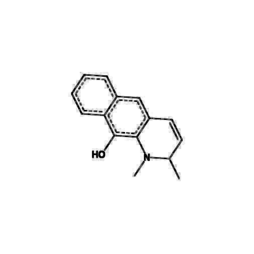 CC1C=Cc2cc3ccccc3c(O)c2N1C